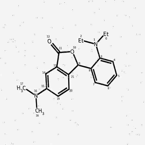 CCN(CC)c1ccccc1C1OC(=O)c2cc(N(C)C)ccc21